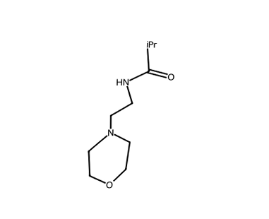 CC(C)C(=O)NCCN1CCOCC1